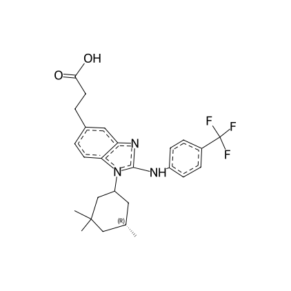 C[C@H]1CC(n2c(Nc3ccc(C(F)(F)F)cc3)nc3cc(CCC(=O)O)ccc32)CC(C)(C)C1